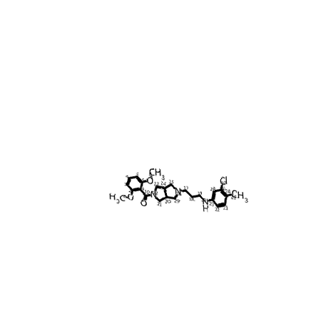 COc1cccc(OC)c1C(=O)N1CC2CN(CCCNc3ccc(C)c(Cl)c3)CC2C1